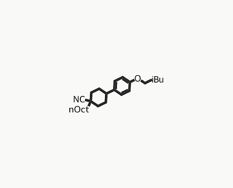 CCCCCCCCC1(C#N)CCC(c2ccc(OCC(C)CC)cc2)CC1